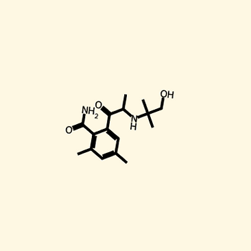 Cc1cc(C)c(C(N)=O)c(C(=O)C(C)NC(C)(C)CO)c1